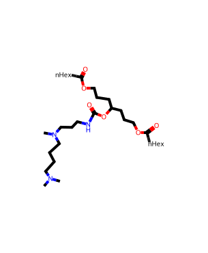 CCCCCCC(=O)OCCCC(CCCOC(=O)CCCCCC)OC(=O)NCCCN(C)CCCCN(C)C